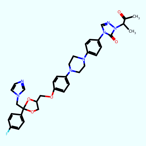 CC(=O)C(C)n1ncn(-c2ccc(N3CCN(c4ccc(OCC5COC(Cn6ccnc6)(c6ccc(F)cc6)O5)cc4)CC3)cc2)c1=O